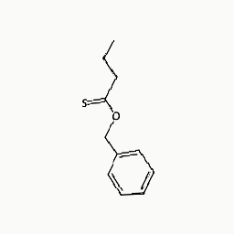 CCCC(=S)OCc1ccccc1